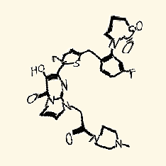 CN1CCN(C(=O)Cn2ccn3c(=O)c(O)c(-c4ncc(Cc5ccc(F)cc5N5CCCS5(=O)=O)s4)nc23)CC1